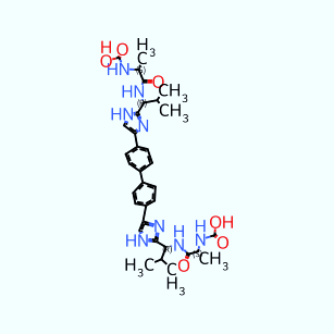 CC(C)[C@@H](NC(=O)[C@H](C)NC(=O)O)c1nc(-c2ccc(-c3ccc(-c4c[nH]c([C@H](NC(=O)[C@H](C)NC(=O)O)C(C)C)n4)cc3)cc2)c[nH]1